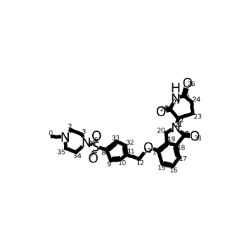 CN1CCN(S(=O)(=O)c2ccc(COc3cccc4c3CN(C3CCC(=O)NC3=O)C4=O)cc2)CC1